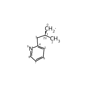 [CH2][C@@H](C)Cc1ccccn1